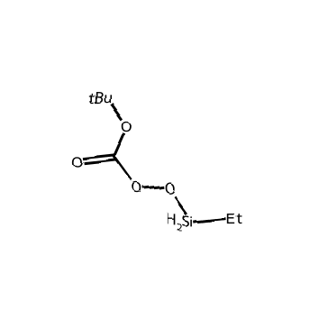 CC[SiH2]OOC(=O)OC(C)(C)C